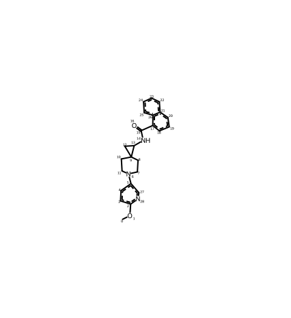 COc1ccc(N2CCC3(CC2)CC3NC(=O)c2cccc3ccccc23)cn1